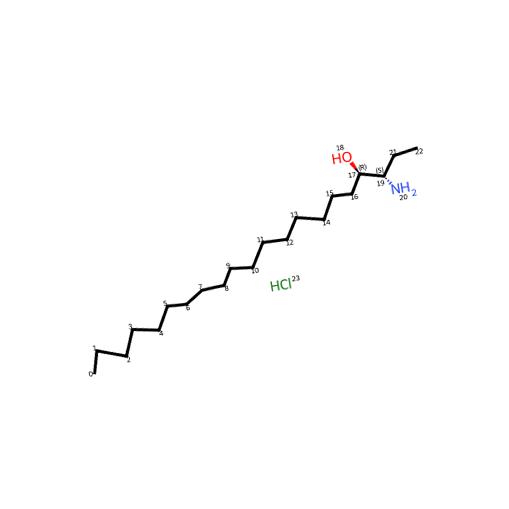 CCCCCCCCCCCCCCCCC[C@@H](O)[C@@H](N)CC.Cl